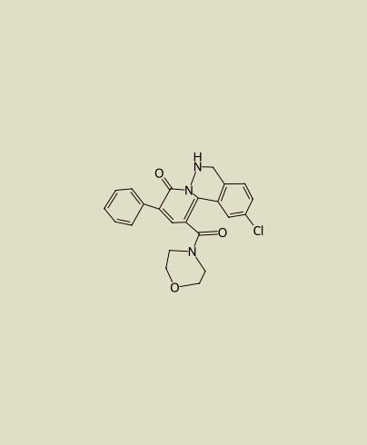 O=C(c1cc(-c2ccccc2)c(=O)n2c1-c1cc(Cl)ccc1CN2)N1CCOCC1